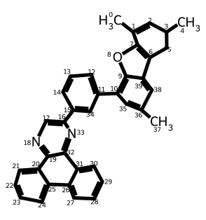 CC1=CC(C)Cc2c1oc1c(-c3cccc(-c4cnc5c6ccccc6c6ccccc6c5n4)c3)cc(C)cc21